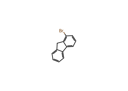 Brc1cccc2c1Cc1ccccc1-2